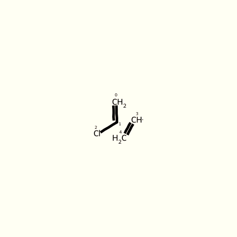 C=CCl.[CH]=C